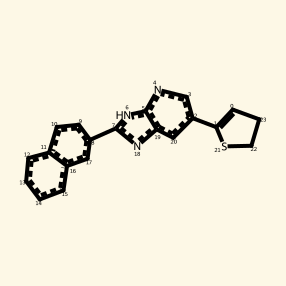 C1=C(c2cnc3[nH]c(-c4ccc5ccccc5c4)nc3c2)SCC1